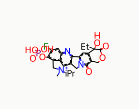 CC[C@@]1(O)C(=O)OCc2c1cc1n(c2=O)Cc2c-1nc1cc(F)c(OP(=O)(O)O)c3c1c2[N+](C)(C(C)C)C3